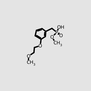 COCCOc1cccc(CP(=O)(O)OC)c1